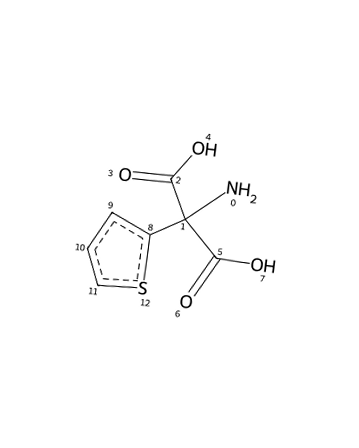 NC(C(=O)O)(C(=O)O)c1cccs1